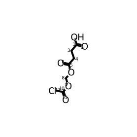 O=C(O)CCC(=O)OCOC(=O)Cl